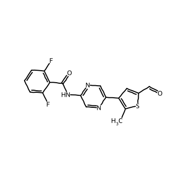 Cc1sc(C=O)cc1-c1cnc(NC(=O)c2c(F)cccc2F)cn1